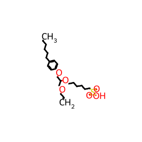 C=CCOCC(COc1ccc(CCCCCC)cc1)OCCCCCCS(=O)(=O)O